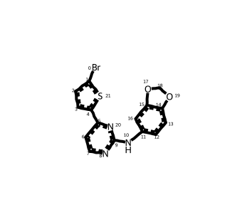 Brc1ccc(-c2ccnc(Nc3ccc4c(c3)OCO4)n2)s1